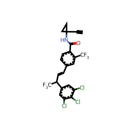 C#CC1(NC(=O)c2ccc(/C=C/C(c3cc(Cl)c(Cl)c(Cl)c3)C(F)(F)F)cc2C(F)(F)F)CC1